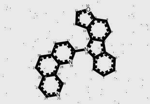 c1ccc2c(c1)c1ccc3occc3c1n2-c1ccc2ccc3ccncc3c2n1